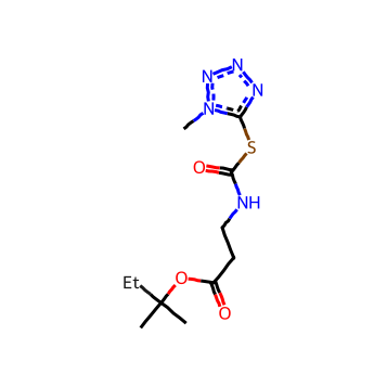 CCC(C)(C)OC(=O)CCNC(=O)Sc1nnnn1C